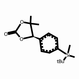 CC1(C)OC(=O)O[C@@H]1c1ccc([Si](C)(C)C(C)(C)C)cc1